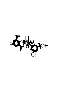 CC(C)c1cc(F)cc(C(C)C)c1NC(=O)NS(=O)(=O)c1cc(Cl)cc(C(C)(C)O)c1